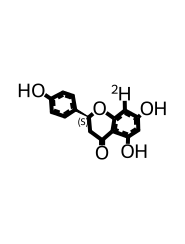 [2H]c1c(O)cc(O)c2c1O[C@H](c1ccc(O)cc1)CC2=O